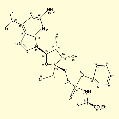 CCOC(=O)[C@@H](C)NP(=S)(OC[C@@]1(CCl)O[C@@H](n2cnc3c(N(C)C)nc(N)nc32)[C@H](F)[C@@H]1O)Oc1ccccc1